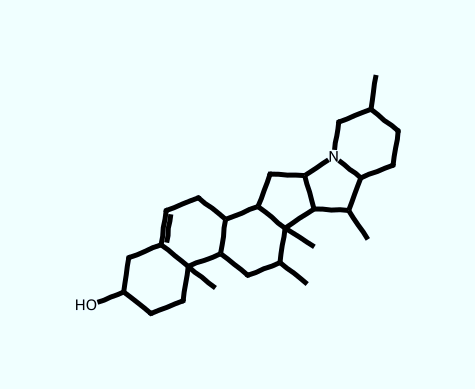 CC1CCC2C(C)C3C(CC4C5CC=C6CC(O)CCC6(C)C5CC(C)C43C)N2C1